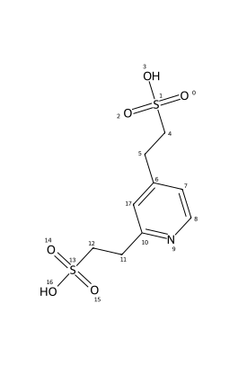 O=S(=O)(O)CCc1ccnc(CCS(=O)(=O)O)c1